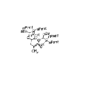 C=C(CC(=O)OC(CCCC)[Si](CCCCC)(CCCCC)CCCCC)C(=O)OC(CCCC)[Si](CCCCC)(CCCCC)CCCCC